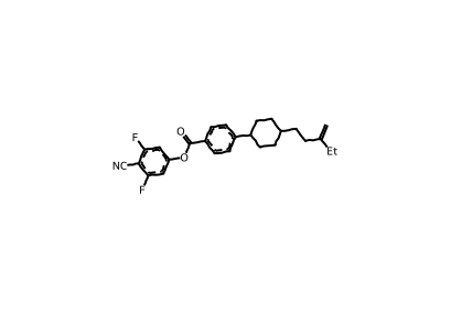 C=C(CC)CCC1CCC(c2ccc(C(=O)Oc3cc(F)c(C#N)c(F)c3)cc2)CC1